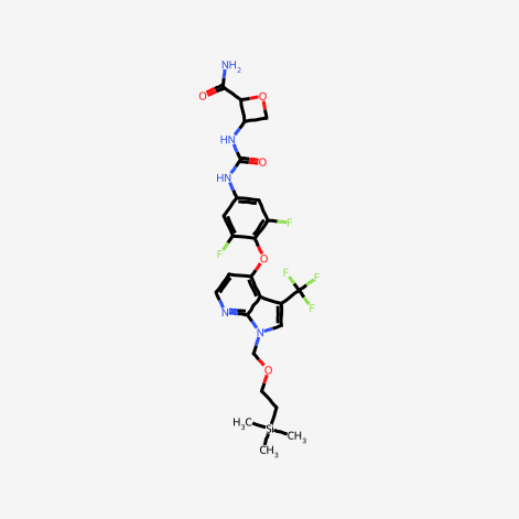 C[Si](C)(C)CCOCn1cc(C(F)(F)F)c2c(Oc3c(F)cc(NC(=O)NC4COC4C(N)=O)cc3F)ccnc21